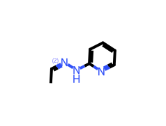 C/C=N\Nc1ccccn1